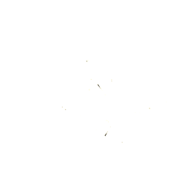 C=C[C@@]1(C)CC(=O)[C@]2(O)[C@]3(C)[C@@H]([C@H](O)[C@H](N4CCCCC4)[C@@]2(C)O1)C(C)(C)CC[C@]3(OC=O)[Si](C)(C)C(C)(C)C